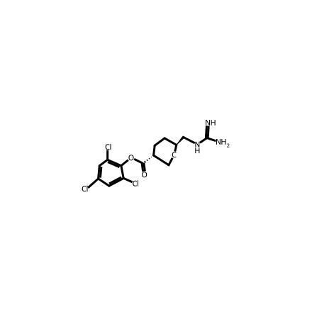 N=C(N)NC[C@H]1CC[C@H](C(=O)Oc2c(Cl)cc(Cl)cc2Cl)CC1